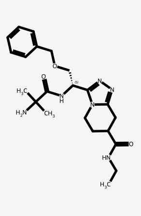 CCNC(=O)C1CCn2c(nnc2[C@@H](COCc2ccccc2)NC(=O)C(C)(C)N)C1